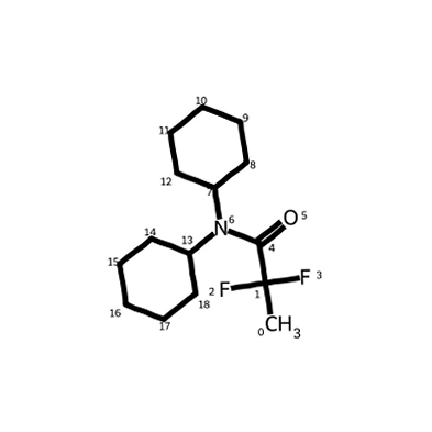 CC(F)(F)C(=O)N(C1CCCCC1)C1CCCCC1